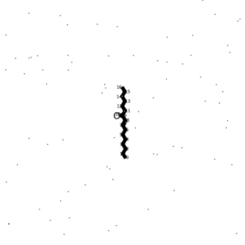 CCCCCCCC=CC(=O)CCCCCC